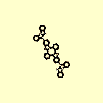 c1ccc2c(c1)nc1n(-c3ccc4c(c3)nc3c5ccccc5n5c6ccc(-n7c8ccccc8n8c9ccccc9nc78)cc6nc5c5ccccc5n43)c3ccccc3n21